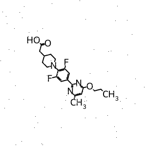 CCCOc1cc(C)nc(-c2cc(F)c(N3CCC(CC(=O)O)CC3)c(F)c2)n1